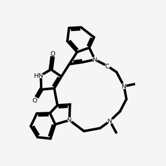 CN1CCN(C)CCn2cc(c3ccccc32)C2=C(C(=O)NC2=O)c2cn(c3ccccc23)CC1